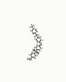 CC(C)(C)c1ccc(C(C)(C)c2ccc(Oc3ccc(S(=O)(=O)c4ccc(O)cc4)cc3)cc2)cc1